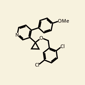 COc1ccc(-c2ccncc2C2(OCc3cc(Cl)ccc3Cl)CC2)cc1